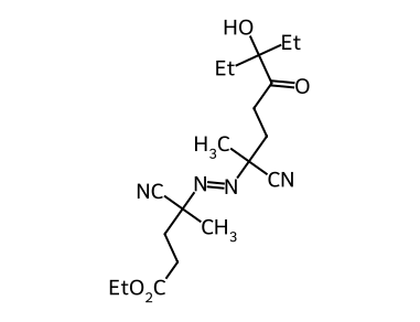 CCOC(=O)CCC(C)(C#N)/N=N/C(C)(C#N)CCC(=O)C(O)(CC)CC